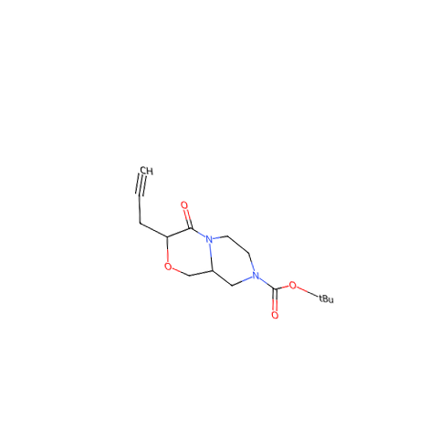 C#CCC1OCC2CN(C(=O)OC(C)(C)C)CCN2C1=O